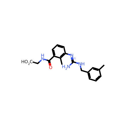 Cc1cccc(CN/C(N)=N/c2cccc(C(=O)NCC(=O)O)c2C)c1